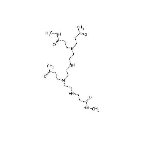 CNC(=O)CCNCCN(CCNCCN(CCC(C)=O)CCC(=O)NC)CCC(C)=O